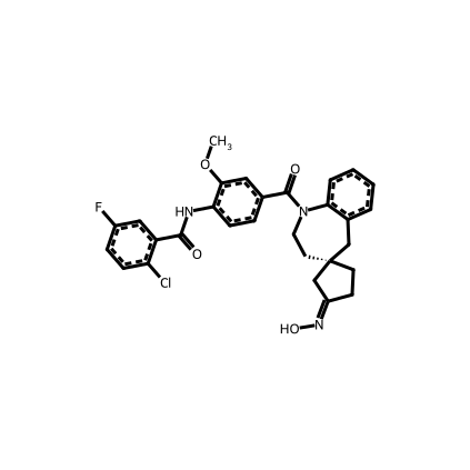 COc1cc(C(=O)N2CC[C@@]3(CCC(=NO)C3)Cc3ccccc32)ccc1NC(=O)c1cc(F)ccc1Cl